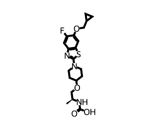 C[C@@H](COC1CCN(c2nc3cc(F)c(OCC4CC4)cc3s2)CC1)NC(=O)O